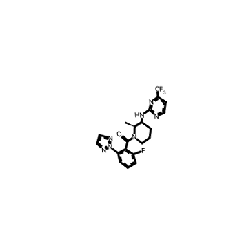 C[C@H]1C(Nc2nccc(C(F)(F)F)n2)CCCN1C(=O)c1c(F)cccc1-n1nccn1